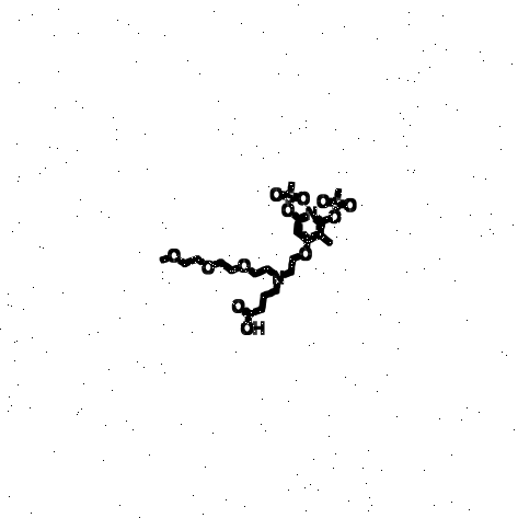 COCCOCCOCCN(CCCC(=O)O)CCOc1cc(OS(C)(=O)=O)nc(OS(C)(=O)=O)c1C